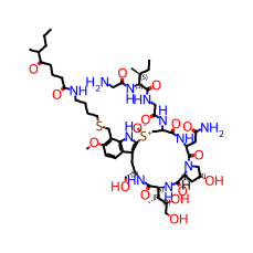 CCCC(C)C(=O)CCCC(=O)NCCCCSCc1c(OC)ccc2c3c([nH]c12)[S+]([O-])CC(NC(=O)CNC(=O)[C@@H](NC(=O)CN)[C@@H](C)CC)C(=O)NC(CC(N)=O)C(=O)N1C[C@H](O)C[C@H]1C(=O)N[C@@H]([C@@H](C)[C@@H](O)CO)C(=O)N[C@H](CO)C3